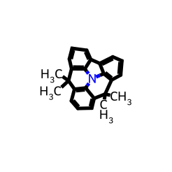 CC1(C)c2cccc3c2-n2c4c1cccc4c1cccc(c12)C3(C)C